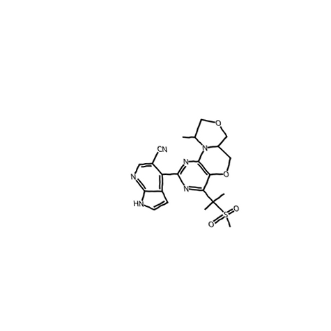 CC1COCC2COc3c(nc(-c4c(C#N)cnc5[nH]ccc45)nc3C(C)(C)S(C)(=O)=O)N12